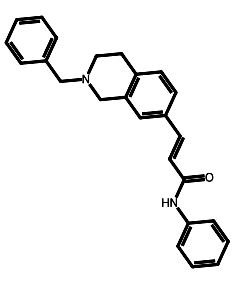 O=C(C=Cc1ccc2c(c1)CN(Cc1ccccc1)CC2)Nc1ccccc1